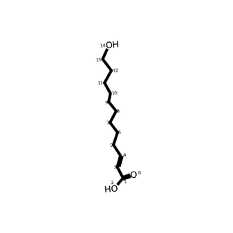 O=C(O)/C=C/CCCCCCCCCO